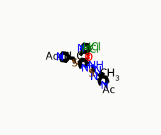 CC(=O)N1CCC(CSc2cnc(Nc3nc(C4(C)CCN(C(C)=O)CC4)ns3)c(Oc3cccnc3C)c2)CC1.Cl.Cl